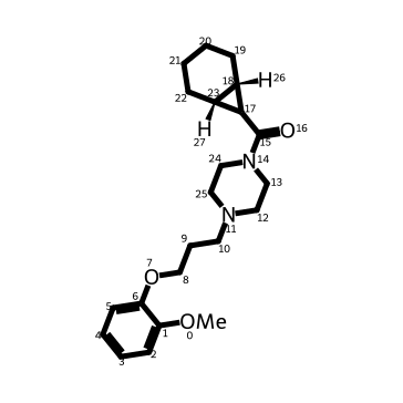 COc1ccccc1OCCCN1CCN(C(=O)C2[C@H]3CCCC[C@@H]23)CC1